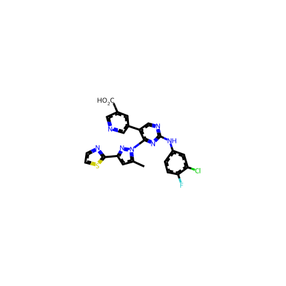 Cc1cc(-c2nccs2)nn1-c1nc(Nc2ccc(F)c(Cl)c2)ncc1-c1cncc(C(=O)O)c1